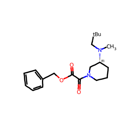 CN(CC(C)(C)C)[C@@H]1CCCN(C(=O)C(=O)OCc2ccccc2)C1